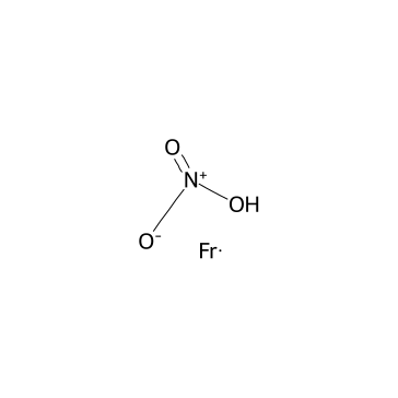 O=[N+]([O-])O.[Fr]